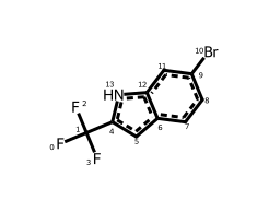 FC(F)(F)c1cc2ccc(Br)cc2[nH]1